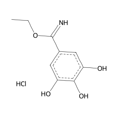 CCOC(=N)c1cc(O)c(O)c(O)c1.Cl